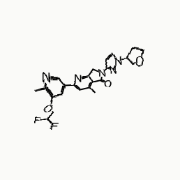 Cc1cc(-c2cnc(C)c(OCC(F)F)c2)nc2c1C(=O)N(c1ccn([C@H]3CCOC3)n1)C2